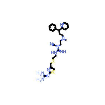 CN(CCC(c1ccccc1)c1ccccn1)CCN(C#N)C(=N)NCCSCc1csc(N=C(N)N)n1